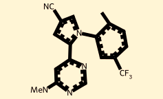 CNc1cc(-c2cc(C#N)cn2-c2cc(C(F)(F)F)ccc2C)ncn1